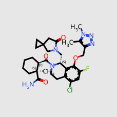 Cc1c(COc2c(F)cc(Cl)c3c2[C@@H](CN2CC4(CC4)CC2=O)N(C(=O)[C@@H]2CCCC[C@]2(C)C(N)=O)CC3)nnn1C